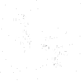 Cc1ncsc1-c1ccc(CNC(=O)[C@@H]2C[C@@H](O)CN2C(=O)[C@@H](NC(=O)CCC2CCN(c3ccc(CO[C@H](C)[C@H](CCC(N)=O)NC(=O)[C@@H]4Cc5cccc6c5N4C(=O)[C@@H](NC(=O)OC(C)(C)C)CC6)cc3)CC2)C(C)(C)C)cc1